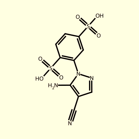 N#Cc1cnn(-c2cc(S(=O)(=O)O)ccc2S(=O)(=O)O)c1N